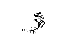 O=C(OC1C2CC3C(O2)C1OS3(=O)=O)OC12CC3CC(CC(COC(=O)C(F)(F)S(=O)(=O)O)(C3)C1)C2